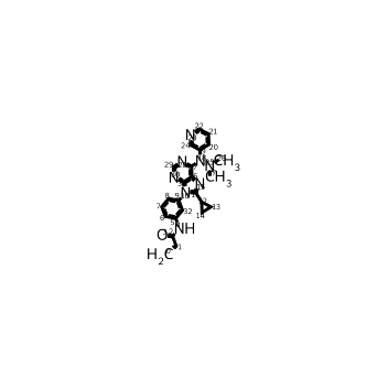 C=CC(=O)Nc1cccc(-n2c(C3CC3)nc3c(N(c4cccnc4)N(C)C)ncnc32)c1